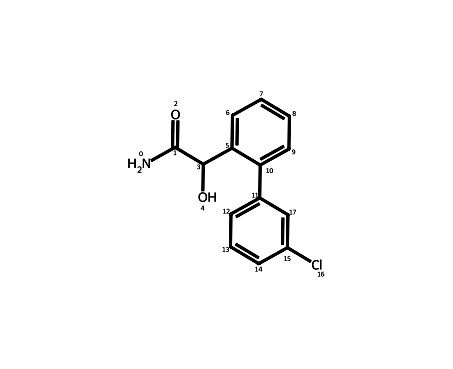 NC(=O)C(O)c1ccccc1-c1cccc(Cl)c1